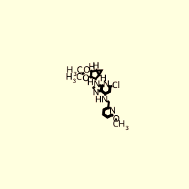 COc1cccc(CNc2cc(Cl)nc3c2ncn3[C@@H]2[C@H]3C[C@H]3[C@H]3OC(C)(C)O[C@H]32)n1